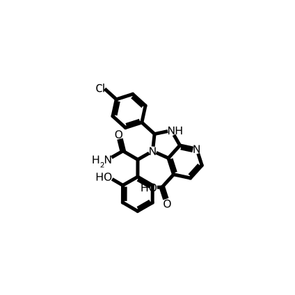 NC(=O)C(c1ccccc1O)N1c2c(C(=O)O)ccnc2NC1c1ccc(Cl)cc1